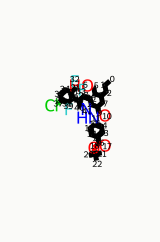 CCCC(CCO)CC(C(=O)Nc1ccc(C(=O)OC(C)(C)C)cc1)c1ccc(-c2c(C(F)F)ccc(Cl)c2F)cn1